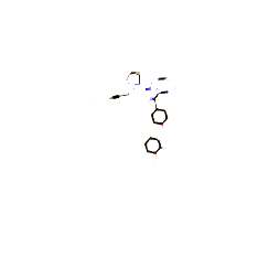 CC#CC(=O)N1CCC[C@H]1c1nc(-c2ccc(Oc3cccc(OC)c3F)cc2)c2cncc(C)n12